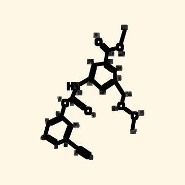 C#Cc1cccc(OC(=O)Nc2cc(COOC)cc(C(=O)OC)c2)c1